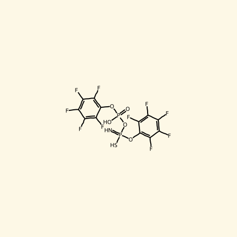 N=P(S)(Oc1c(F)c(F)c(F)c(F)c1F)OP(=O)(O)Oc1c(F)c(F)c(F)c(F)c1F